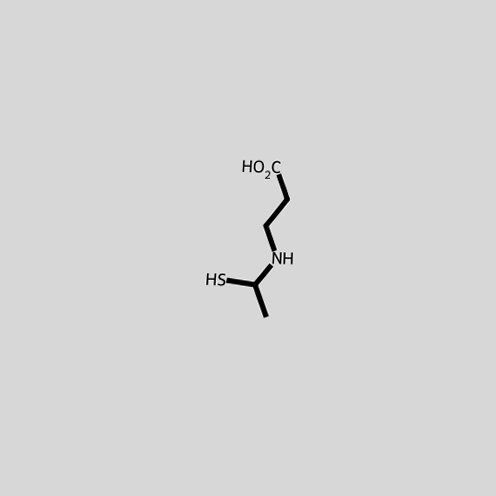 CC(S)NCCC(=O)O